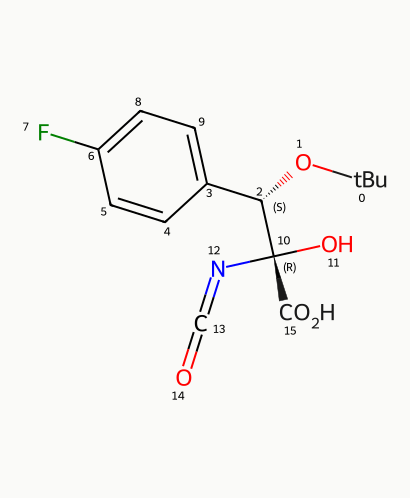 CC(C)(C)O[C@@H](c1ccc(F)cc1)[C@](O)(N=C=O)C(=O)O